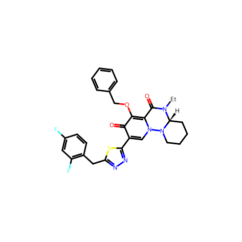 CCN1C(=O)c2c(OCc3ccccc3)c(=O)c(-c3nnc(Cc4ccc(F)cc4F)s3)cn2N2CCCC[C@@H]12